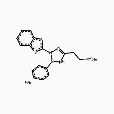 Br.CCCCCCCCCCCCC1=NN(c2nc3ccccc3s2)N(c2ccccc2)N1